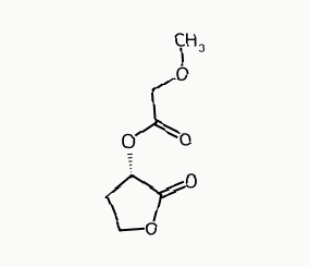 COCC(=O)O[C@H]1CCOC1=O